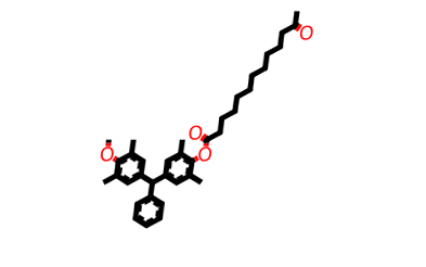 COc1c(C)cc(C(c2ccccc2)c2cc(C)c(OC(=O)CCCCCCCCCCC(C)=O)c(C)c2)cc1C